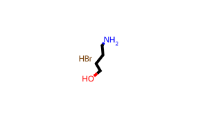 Br.NCCCCO